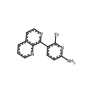 CCc1nc(N)ccc1-c1nccc2cccnc12